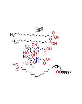 CC(C)(CO)[C@@H](O)C(=O)NCCC(=O)O.CC(C)(CO)[C@@H](O)C(=O)NCCC(=O)O.CCCCCCCC/C=C\CCCCCCCC(=O)O.CCCCCCCCCCCCCC(=O)O.CCCCCCCCCCCCCCCC(=O)O.[Ca+2].[Ca+2].[Ca+2].[Ca+2].[Ca+2].[O]=[Ca]